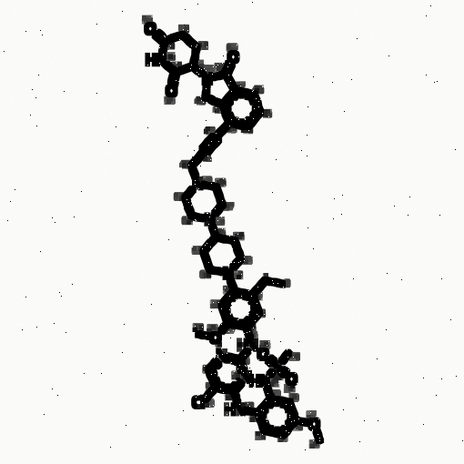 CCc1cc(Nc2ncc(Cl)c(Nc3ccc(OC)cc3NS(C)(=O)=O)n2)c(OC)cc1N1CCC(N2CCN(CC#Cc3cccc4c3CN(C3CCC(=O)NC3=O)C4=O)CC2)CC1